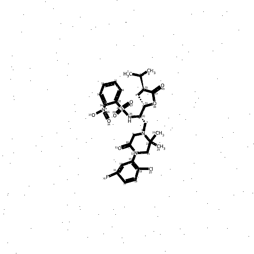 CC(C)[C@@H]1C[C@@H]([C@H](CN2CC(=O)N(c3cc(F)ccc3Cl)CC2(C)C)NS(=O)(=O)c2ccccc2[N+](=O)[O-])OC1=O